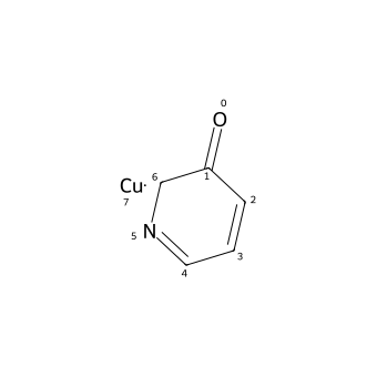 O=C1C=CC=NC1.[Cu]